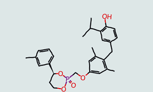 Cc1cccc([C@@H]2CCOP(=O)(COc3cc(C)c(Cc4ccc(O)c(C(C)C)c4)c(C)c3)O2)c1